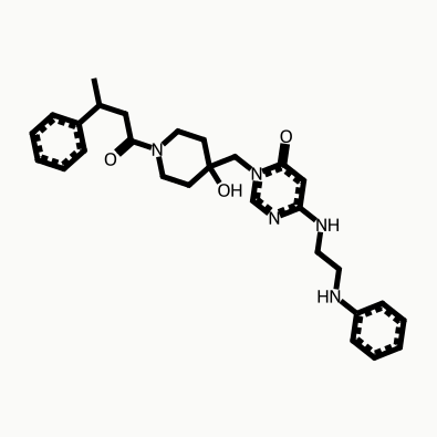 CC(CC(=O)N1CCC(O)(Cn2cnc(NCCNc3ccccc3)cc2=O)CC1)c1ccccc1